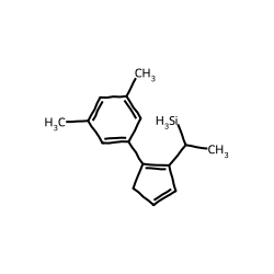 Cc1cc(C)cc(C2=C(C(C)[SiH3])C=CC2)c1